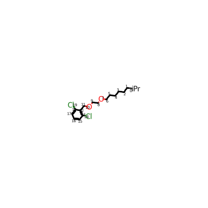 CC(C)CCCCCCOCCOCc1c(Cl)cccc1Cl